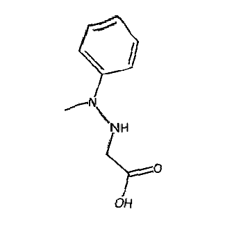 CN(NCC(=O)O)c1ccccc1